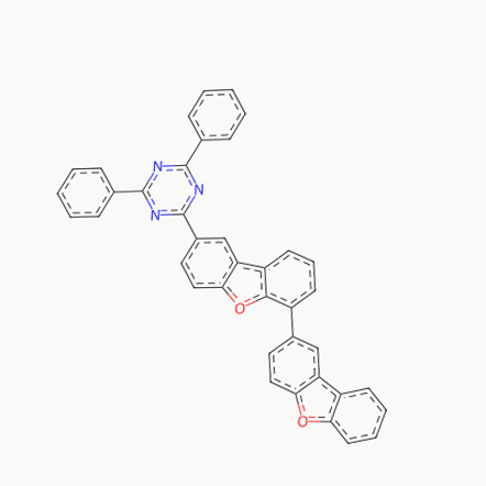 c1ccc(-c2nc(-c3ccccc3)nc(-c3ccc4oc5c(-c6ccc7oc8ccccc8c7c6)cccc5c4c3)n2)cc1